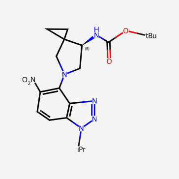 CC(C)n1nnc2c(N3C[C@H](NC(=O)OC(C)(C)C)C4(CC4)C3)c([N+](=O)[O-])ccc21